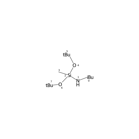 CCC(C)N[Si](C)(OC(C)(C)C)OC(C)(C)C